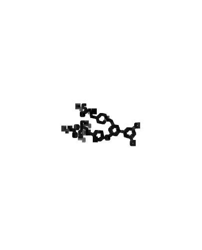 CC(=O)NCC1CCN(Cc2cc(Oc3ccc(NCC(C)(C)OC(N)=O)nc3)cc(-c3cc(Cl)cc(Cl)c3)c2)CC1